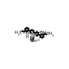 C=CCc1cccc(-c2ccc(-c3ccc(-c4cccc(CC=C)c4O)cn3)nc2)c1O.[Cl-].[Cl-].[Cl-].[Mn+3]